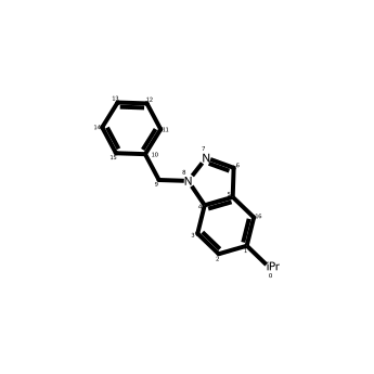 CC(C)c1ccc2c(cnn2Cc2ccccc2)c1